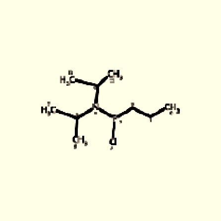 CCCP(Cl)N(C(C)C)C(C)C